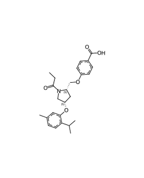 CCC(=O)N1C[C@@H](Oc2cc(C)ccc2C(C)C)C[C@H]1COc1ccc(C(=O)O)cc1